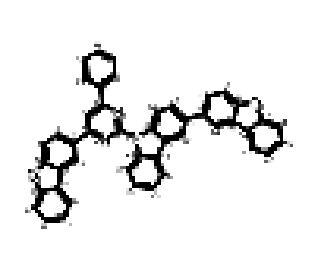 c1ccc(-c2cc(-c3ccc4oc5ccccc5c4c3)nc(-n3c4ccccc4c4cc(-c5ccc6oc7ccccc7c6c5)ccc43)n2)cc1